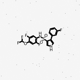 O=S(=O)(Nc1cc(F)c(OC(F)F)cc1F)c1c[nH]cc1-c1cccc(F)c1